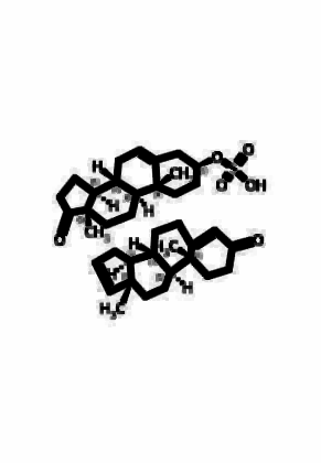 C[C@@]12C=CC[C@H]1[C@@H]1CCC3=CC(=O)CC[C@]3(C)[C@H]1CC2.C[C@]12CC[C@H](OS(=O)(=O)O)CC1=CC[C@@H]1[C@@H]2CC[C@]2(C)C(=O)CC[C@@H]12